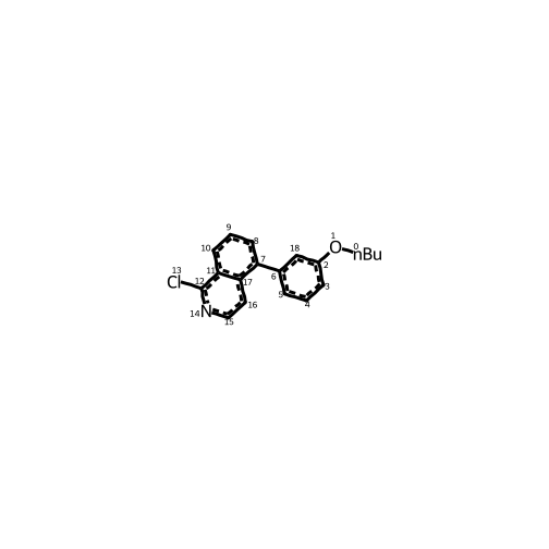 CCCCOc1cccc(-c2cccc3c(Cl)nccc23)c1